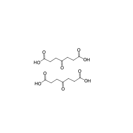 O=C(O)CCC(=O)CCC(=O)O.O=C(O)CCC(=O)CCC(=O)O